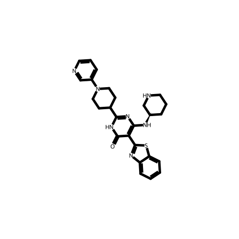 O=c1[nH]c(C2CCN(c3cccnc3)CC2)nc(N[C@@H]2CCCNC2)c1-c1nc2ccccc2s1